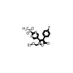 CCOCn1oc(=O)c(-c2ccc(F)cc2)c1-c1cnc(S(C)(=O)=O)nc1